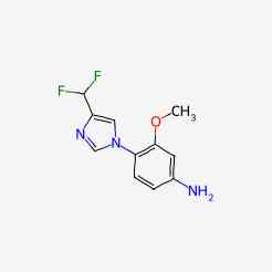 COc1cc(N)ccc1-n1cnc(C(F)F)c1